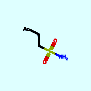 CC(=O)CCS(N)(=O)=O